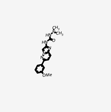 COc1cccc(-c2ccc3nc(NC(=O)NN(C)C)cn3n2)c1